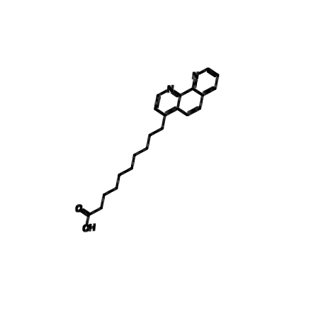 O=C(O)CCCCCCCCCc1ccnc2c1ccc1cccnc12